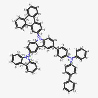 c1ccc(-c2ccc(N(c3ccccc3)c3ccc(-c4ccc5c(c4)c4cc(-n6c7ccccc7c7ccccc76)ccc4n5-c4ccc5c6ccccc6c6ccccc6c5c4)cc3)cc2)cc1